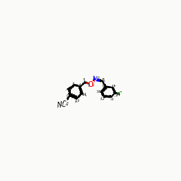 N#Cc1ccc(CO/N=[C]\c2cccc(F)c2)cc1